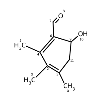 CC1=C(C)C(C)=C(C=O)C(O)C1